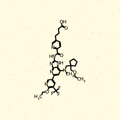 CCOCC1(CN(C)c2cc(-c3cnc(OCC)c(C(F)(F)F)c3)nc3nc(NC(=O)c4ccc(CCCC(=O)O)cn4)[nH]c23)CCCC1